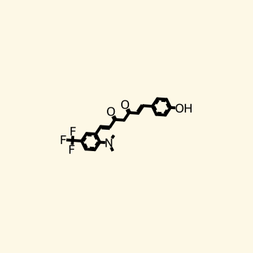 CN(C)c1ccc(C(F)(F)F)cc1C=CC(=O)CC(=O)C=Cc1ccc(O)cc1